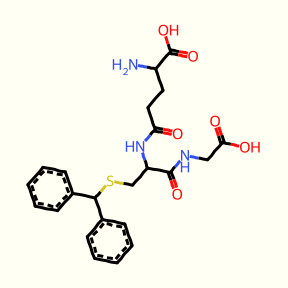 NC(CCC(=O)NC(CSC(c1ccccc1)c1ccccc1)C(=O)NCC(=O)O)C(=O)O